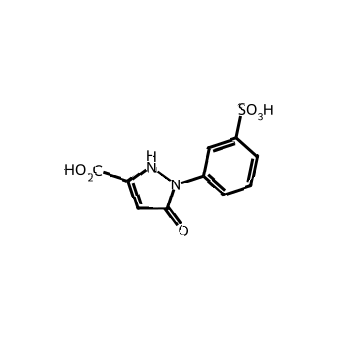 O=C(O)c1cc(=O)n(-c2cccc(S(=O)(=O)O)c2)[nH]1